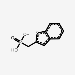 O=P(O)(O)Cc1cc2ccccc2s1